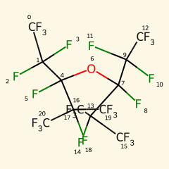 FC(F)(F)C(F)(F)C(F)(OC(F)(C(F)(F)C(F)(F)F)C(F)(C(F)(F)F)C(F)(F)F)C(F)(C(F)(F)F)C(F)(F)F